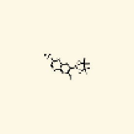 CC1(C)OB(c2cc3nc(C(F)(F)F)cnc3cc2F)OC1(C)C